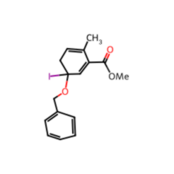 COC(=O)C1=CC(I)(OCc2ccccc2)CC=C1C